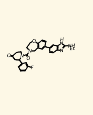 CCNc1nc2ccc(-c3ccc4c(c3)CN(C(=O)N3CCC(=O)CC3c3cccc(F)c3)CCO4)cc2[nH]1